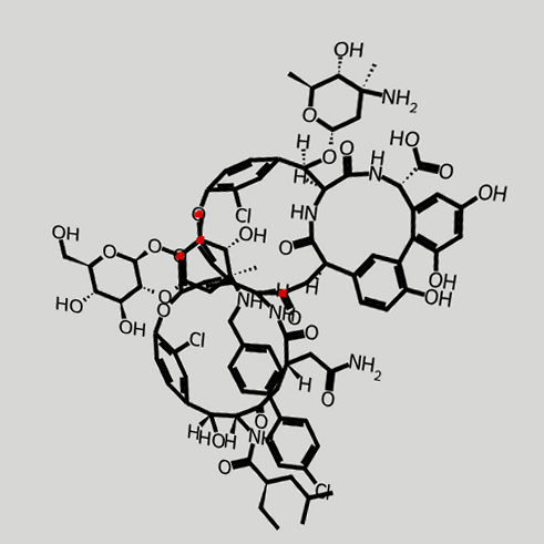 CC[C@H](CC(C)C)C(=O)N[C@H]1C(=O)C[C@@H](CC(N)=O)C(=O)N[C@H]2C(=O)C[C@H]3C(=O)N[C@H](C(=O)N[C@H](C(=O)O)c4cc(O)cc(O)c4-c4cc3ccc4O)[C@H](O[C@H]3C[C@](C)(N)[C@@H](O)[C@H](C)O3)c3ccc(c(Cl)c3)Oc3cc2cc(c3O[C@@H]2O[C@H](CO)[C@@H](O)[C@H](O)[C@H]2O[C@H]2C[C@](C)(NCc3ccc(-c4ccc(Cl)cc4)cc3)[C@@H](O)[C@H](C)O2)Oc2ccc(cc2Cl)[C@H]1O